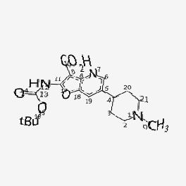 CN1CCC(c2cnc3c(C(=O)O)c(NC(=O)OC(C)(C)C)oc3c2)CC1